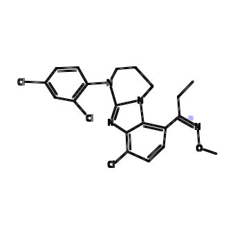 CC/C(=N/OC)c1ccc(Cl)c2nc3n(c12)CCCN3c1ccc(Cl)cc1Cl